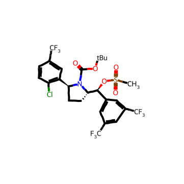 CC(C)(C)OC(=O)N1[C@H](c2cc(C(F)(F)F)ccc2Cl)CC[C@H]1[C@@H](OS(C)(=O)=O)c1cc(C(F)(F)F)cc(C(F)(F)F)c1